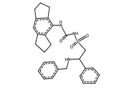 O=C(Nc1c2c(cc3c1CCC3)CCC2)NS(=O)(=O)CC(NCc1ccccc1)c1ccccc1